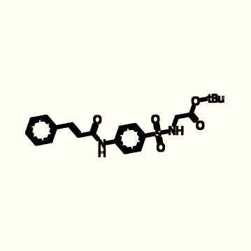 CC(C)(C)OC(=O)CNS(=O)(=O)c1ccc(NC(=O)/C=C/c2ccccc2)cc1